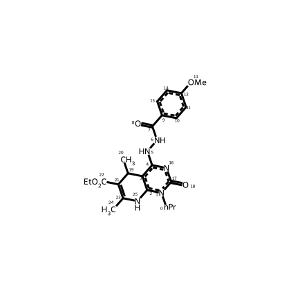 CCCn1c2c(c(NNC(=O)c3ccc(OC)cc3)nc1=O)C(C)C(C(=O)OCC)=C(C)N2